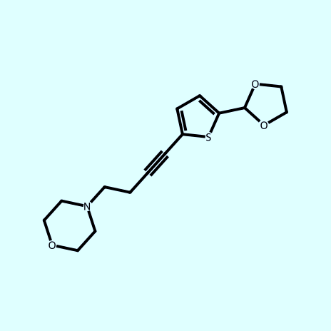 C(#Cc1ccc(C2OCCO2)s1)CCN1CCOCC1